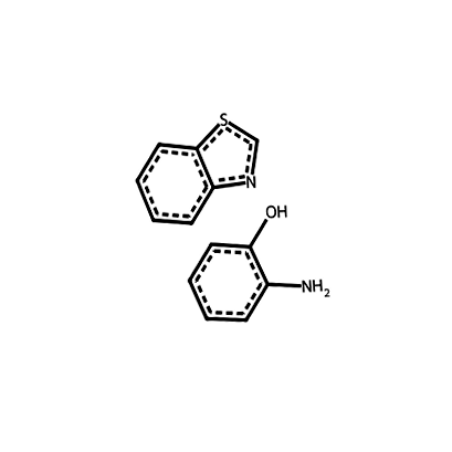 Nc1ccccc1O.c1ccc2scnc2c1